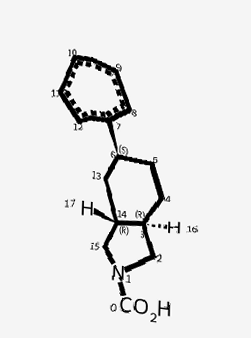 O=C(O)N1C[C@@H]2CC[C@H](c3ccccc3)C[C@H]2C1